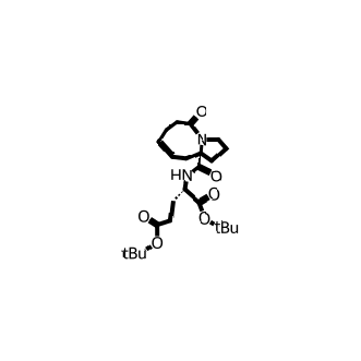 CC(C)(C)OC(=O)CC[C@H](NC(=O)[C@@]12C/C=C\CCC(=O)N1CCC2)C(=O)OC(C)(C)C